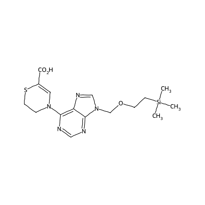 C[Si](C)(C)CCOCn1cnc2c(N3C=C(C(=O)O)SCC3)ncnc21